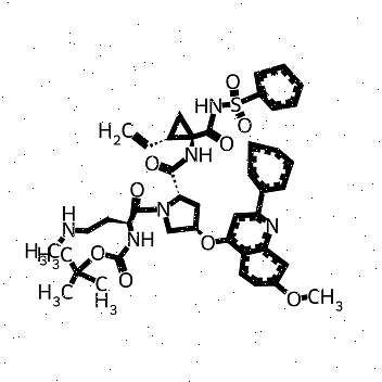 C=C[C@@H]1C[C@]1(NC(=O)[C@@H]1C[C@@H](Oc2cc(-c3ccccc3)nc3cc(OC)ccc23)CN1C(=O)[C@H](CCNC)NC(=O)OC(C)(C)C)C(=O)NS(=O)(=O)c1ccccc1